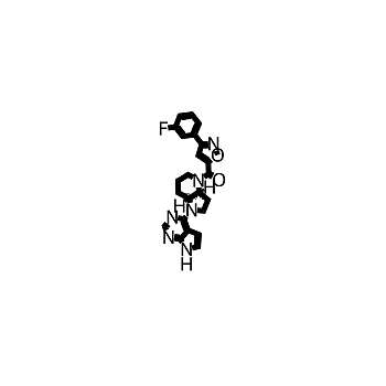 O=C(c1cc(-c2cccc(F)c2)no1)N1CCC[C@@H]2[C@H]1CCN2c1ncnc2[nH]ccc12